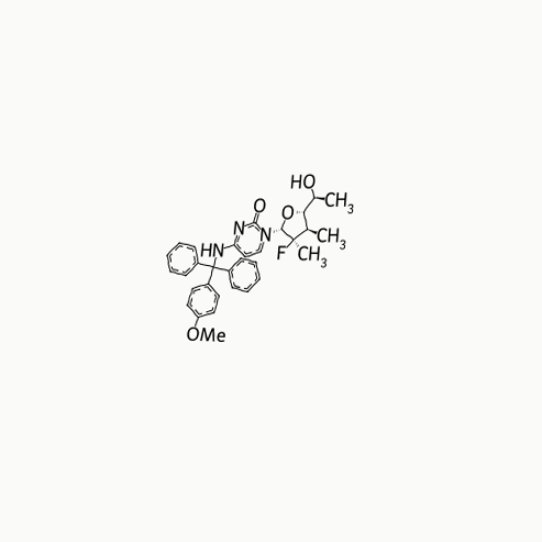 COc1ccc(C(Nc2ccn([C@@H]3O[C@H]([C@H](C)O)[C@@H](C)[C@@]3(C)F)c(=O)n2)(c2ccccc2)c2ccccc2)cc1